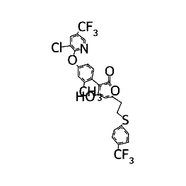 Cc1cc(Oc2ncc(C(F)(F)F)cc2Cl)ccc1-c1c(O)cc(CCSc2ccc(C(F)(F)F)cc2)oc1=O